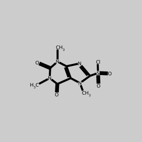 Cn1c(=O)c2c(nc(S(=O)(=O)Cl)n2C)n(C)c1=O